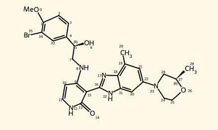 COc1ccc([C@@H](O)CNc2cc[nH]c(=O)c2-c2nc3c(C)cc(N4CCO[C@H](C)C4)cc3[nH]2)cc1Br